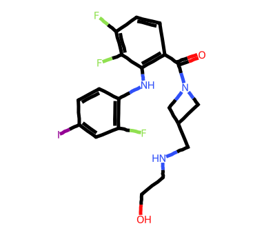 O=C(c1ccc(F)c(F)c1Nc1ccc(I)cc1F)N1CC(CNCCO)C1